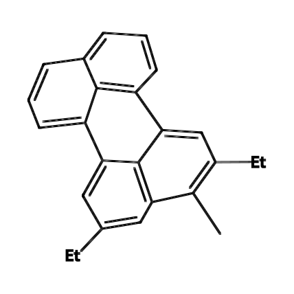 CCc1cc2c(C)c(CC)cc3c4cccc5cccc(c(c1)c23)c54